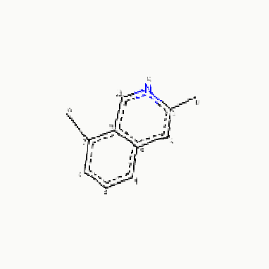 Cc1cc2cccc(C)c2cn1